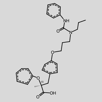 CCCN(CCCOc1ccc(C[C@](C)(Oc2ccccc2)C(=O)O)cc1)C(=O)Nc1ccccc1